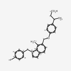 Cc1c(COc2ccc(C(C)CC(=O)O)cc2)ccc2ccn(Cc3ccc(F)cc3)c12